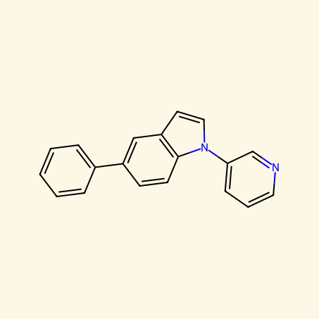 c1ccc(-c2ccc3c(ccn3-c3cccnc3)c2)cc1